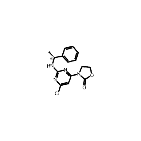 C[C@H](Nc1nc(Cl)cc(N2CCOC2=O)n1)c1ccccc1